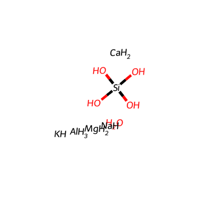 O.O[Si](O)(O)O.[AlH3].[CaH2].[KH].[MgH2].[NaH]